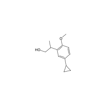 COc1ccc(C2CC2)cc1[C](C)CO